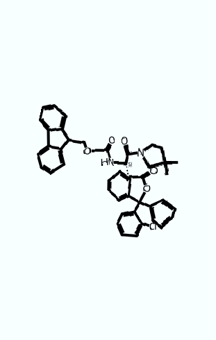 CC1(C)CCN(C(=O)[C@H](CC(=O)OC(c2ccccc2)(c2ccccc2)c2ccccc2Cl)NC(=O)OCC2c3ccccc3-c3ccccc32)C1